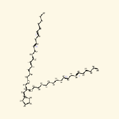 CCCCC/C=C/C/C=C/CCCCCCCCOCC(CN1CCCC1)OCCCCCCCC/C=C/C/C=C/CCCCC